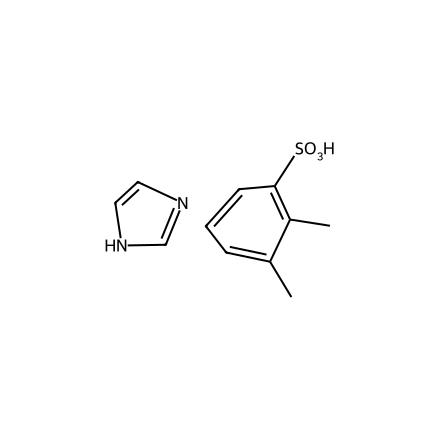 Cc1cccc(S(=O)(=O)O)c1C.c1c[nH]cn1